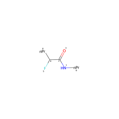 CCCNC(=O)C(F)CCC